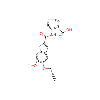 C#CCOc1cc2c(cc1OC)CC(C(=O)Nc1ccccc1C(=O)O)=C2